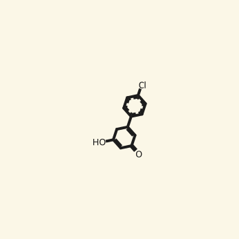 O=C1C=C(O)CC(c2ccc(Cl)cc2)=C1